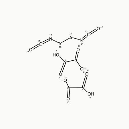 O=C(O)C(=O)O.O=C(O)C(=O)O.O=C=NSSN=C=O